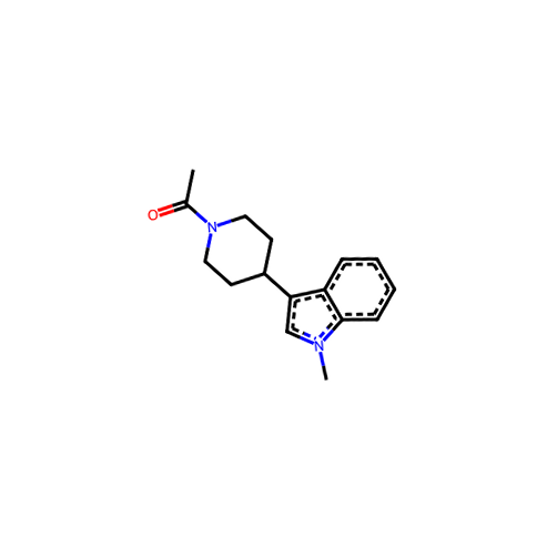 CC(=O)N1CCC(c2cn(C)c3ccccc23)CC1